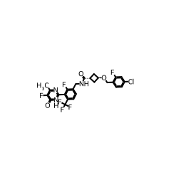 Cc1nc(-c2c(C(F)(F)F)ccc(CNC(=O)[C@H]3C[C@H](OCc4ccc(Cl)cc4F)C3)c2F)[nH]c(=O)c1F